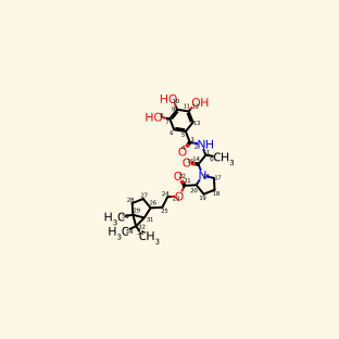 CC(NC(=O)c1cc(O)c(O)c(O)c1)C(=O)N1CCCC1C(=O)OCCC1CCC2(C)C1C2(C)C